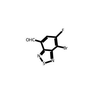 O=Cc1cc(F)c(Br)c2nsnc12